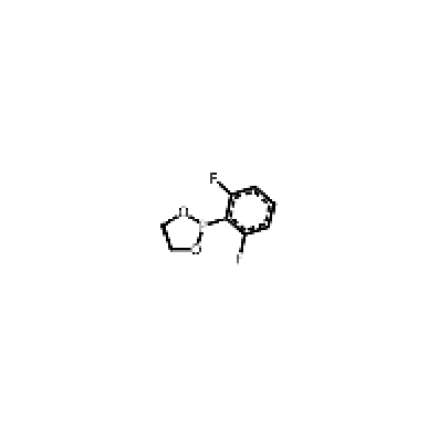 Fc1cccc(F)c1P1OCCO1